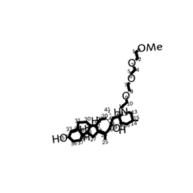 COCCOCCOCCOCCN1C[C@@H](C)C[C@H]2O[C@]3(CC[C@@H]4C(=C(C)C3)C[C@H]3[C@H]4CCC4=C[C@@H](O)CCC43C)[C@H](C)[C@@H]21